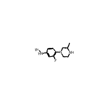 CC(C)Nc1ccc(N2CCNC(C)C2)c(F)c1